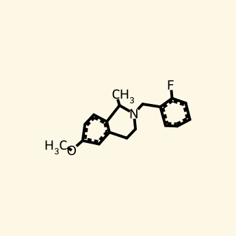 COc1ccc2c(c1)CCN(Cc1ccccc1F)C2C